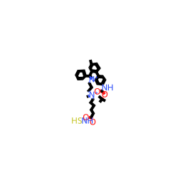 Cc1ccc2c(c1)c(-c1ccccc1)[n+](CCC[N+](C)(C)CCCCCC(=O)ONS)c1cc(NC(=O)OC(C)(C)C)ccc21